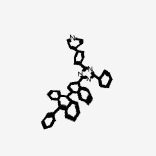 c1ccc(-c2nc(-c3ccc(-c4ccncc4)cc3)nc(-c3ccc(-c4c5ccccc5c(-c5ccccc5)c5ccccc45)c4ccccc34)n2)cc1